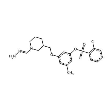 Cc1cc(OCC2CCCN(C=NN)C2)cc(OS(=O)(=O)c2ccccc2Cl)c1